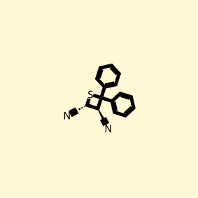 N#C[C@@H]1SC(c2ccccc2)(c2ccccc2)[C@H]1C#N